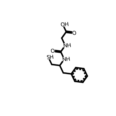 O=C(O)CNC(=O)NC(CS)Cc1ccccc1